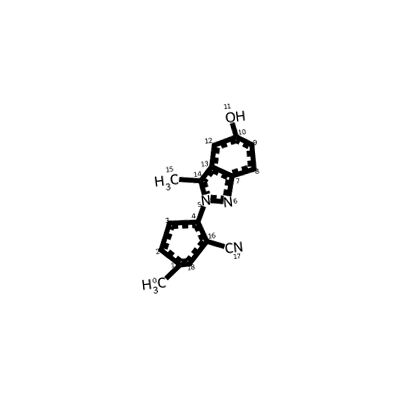 Cc1ccc(-n2nc3ccc(O)cc3c2C)c(C#N)c1